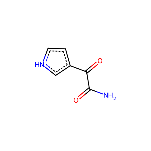 NC(=O)C(=O)c1cc[nH]c1